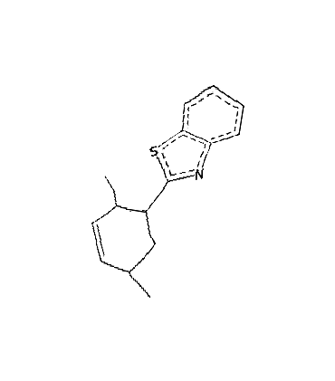 CC1C=CC(C)C(c2nc3ccccc3s2)C1